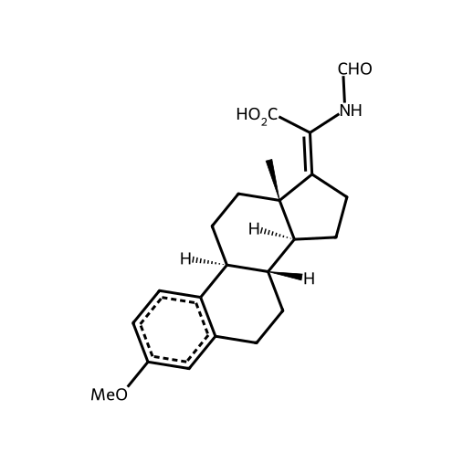 COc1ccc2c(c1)CC[C@@H]1[C@@H]2CC[C@]2(C)/C(=C(/NC=O)C(=O)O)CC[C@@H]12